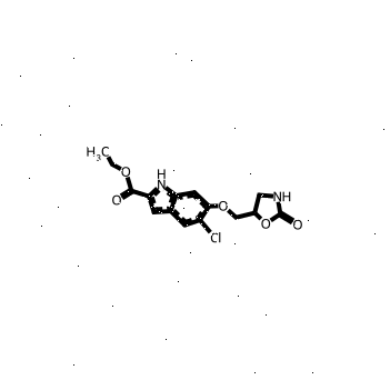 CCOC(=O)c1cc2cc(Cl)c(OCC3CNC(=O)O3)cc2[nH]1